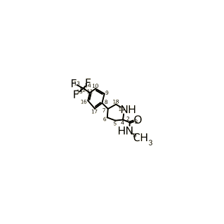 CNC(=O)C1CCC(c2ccc(C(F)(F)F)cc2)CN1